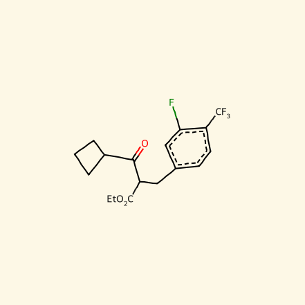 CCOC(=O)C(Cc1ccc(C(F)(F)F)c(F)c1)C(=O)C1CCC1